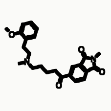 COc1ccccc1CCN(C)CCCCC(=O)c1ccc2c(c1)C(=O)N(C)C2=O